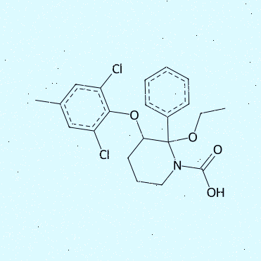 CCOC1(c2ccccc2)C(Oc2c(Cl)cc(C)cc2Cl)CCCN1C(=O)O